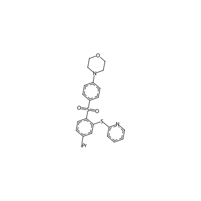 CC(C)c1ccc(S(=O)(=O)c2ccc(N3CCOCC3)cc2)c(Sc2ccccn2)c1